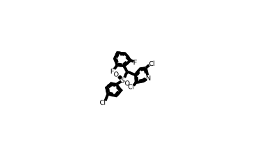 O=S(=O)(c1ccc(Cl)cc1)C(c1cc(Cl)ncc1Cl)c1c(F)cccc1F